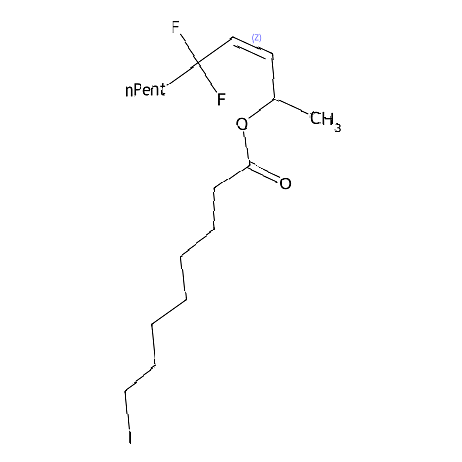 CCCCCC(F)(F)/C=C\C(C)OC(=O)CCCCCCCI